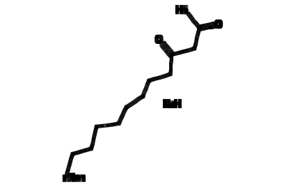 CCCCCCCCCCCCCCCCCC(=O)CC(=O)S.[NaH]